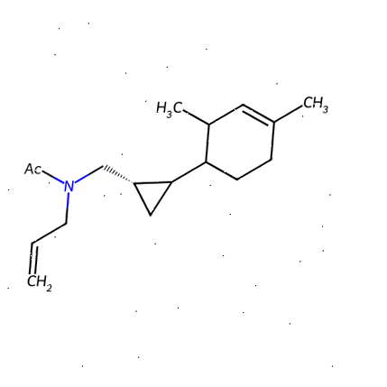 C=CCN(C[C@H]1CC1C1CCC(C)=CC1C)C(C)=O